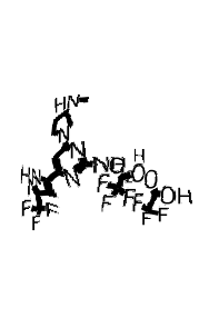 CN[C@@H]1CCN(c2cc(-c3cc(C(F)(F)F)n[nH]3)nc(N)n2)C1.O=C(O)C(F)(F)F.O=C(O)C(F)(F)F